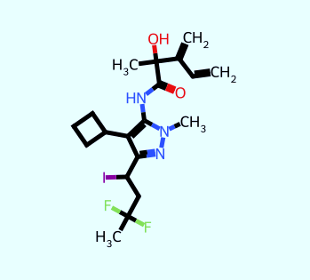 C=CC(=C)C(C)(O)C(=O)Nc1c(C2CCC2)c(C(I)CC(C)(F)F)nn1C